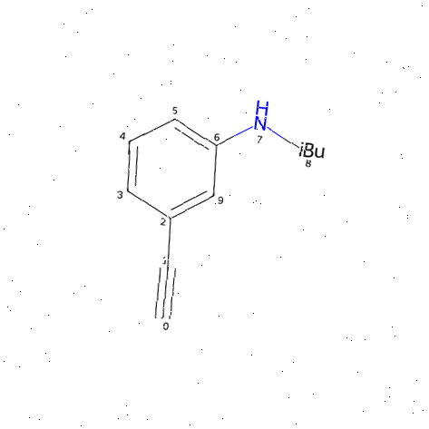 C#Cc1cccc(NC(C)CC)c1